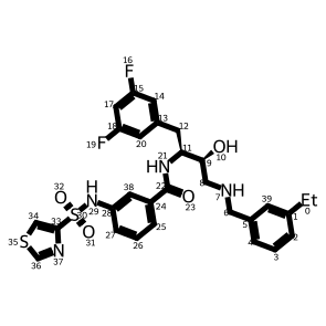 CCc1cccc(CNC[C@H](O)[C@H](Cc2cc(F)cc(F)c2)NC(=O)c2cccc(NS(=O)(=O)c3cscn3)c2)c1